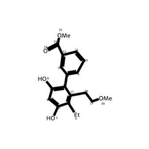 CCc1c(O)cc(O)c(-c2cccc(C(=O)OC)c2)c1CCOC